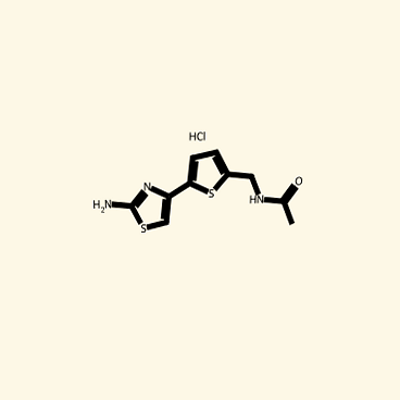 CC(=O)NCc1ccc(-c2csc(N)n2)s1.Cl